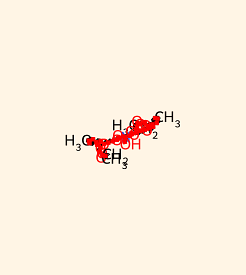 C=C(C)C(=O)O/C=C\Oc1cc(-c2ccc(C)cc2)ccc1OCCCCCOC(=O)CCN(CCO)CCC(=O)OCCCCCOc1ccc(-c2ccc(C)cc2)cc1O/C=C\OC(=O)C(=C)C